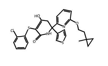 CC1(CCOc2cccc(C3(c4ccsc4)CC(O)=C(Sc4ccccc4Cl)C(=O)N3)n2)CC1